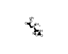 CCCOC(=O)CN(C)c1noc(=O)[nH]1